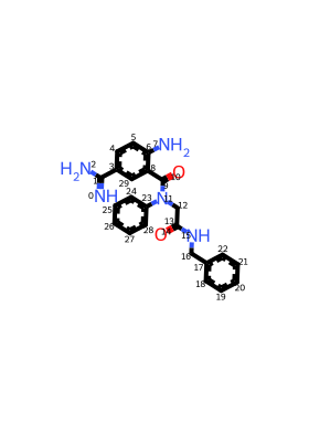 N=C(N)c1ccc(N)c(C(=O)N(CC(=O)NCc2ccccc2)c2ccccc2)c1